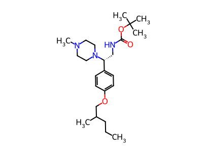 CCCC(C)COc1ccc([C@@H](CNC(=O)OC(C)(C)C)N2CCN(C)CC2)cc1